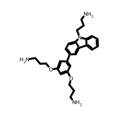 NCCCOc1cc(OCCCN)cc(-c2ccc3c(c2)c2ccccc2n3CCCN)c1